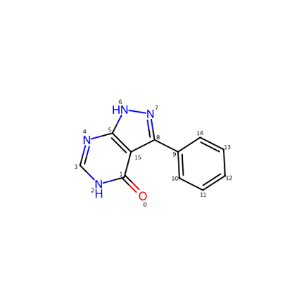 O=c1[nH]cnc2[nH]nc(-c3ccccc3)c12